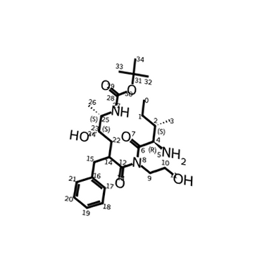 CC[C@H](C)[C@@H](N)C(=O)N(CCO)C(=O)C(Cc1ccccc1)C[C@H](O)[C@H](C)NC(=O)OC(C)(C)C